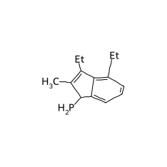 CCC1=C(C)C(P)c2cccc(CC)c21